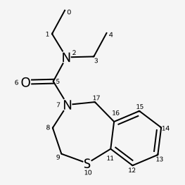 CCN(CC)C(=O)N1CCSc2ccccc2C1